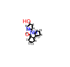 O=C(Nc1ccc(O)cn1)c1ccccc1-c1ccccc1